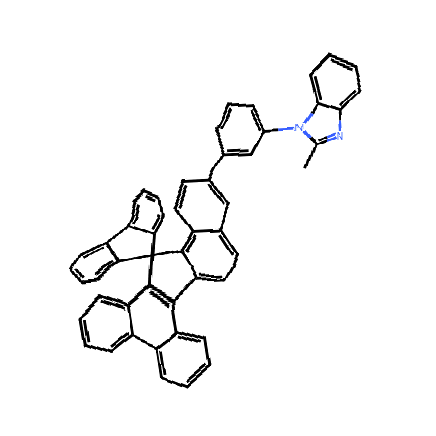 Cc1nc2ccccc2n1-c1cccc(-c2ccc3c4c(ccc3c2)-c2c(c3ccccc3c3ccccc23)C42c3ccccc3-c3ccccc32)c1